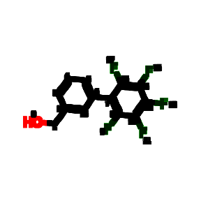 OCc1cccc(-c2c(F)c(F)c(F)c(F)c2F)c1